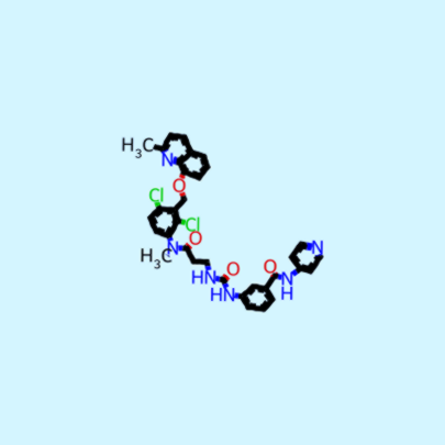 Cc1ccc2cccc(OCc3c(Cl)ccc(N(C)C(=O)CCNC(=O)Nc4cccc(C(=O)Nc5ccncc5)c4)c3Cl)c2n1